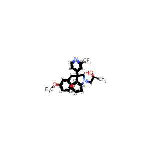 O[C@H](CN1CC(Cc2cccc(OC(F)(F)F)c2)(c2ccnc(C(F)(F)F)c2)c2ccccc21)C(F)(F)F